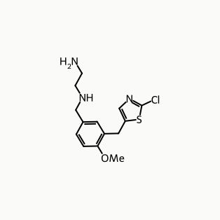 COc1ccc(CNCCN)cc1Cc1cnc(Cl)s1